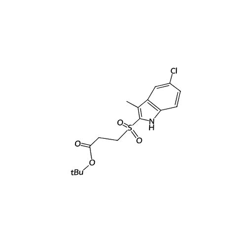 Cc1c(S(=O)(=O)CCC(=O)OC(C)(C)C)[nH]c2ccc(Cl)cc12